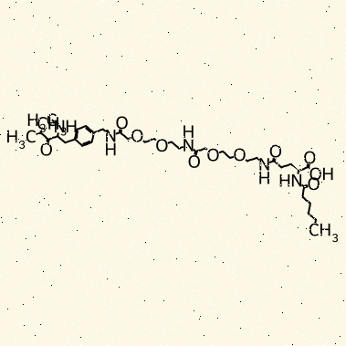 CCCCCC(=O)N[C@@H](CCC(=O)NCCOCCOCC(=O)NCCOCCOCC(=O)NCc1ccc(CC(NC)C(=O)C(C)C)cc1)C(=O)O